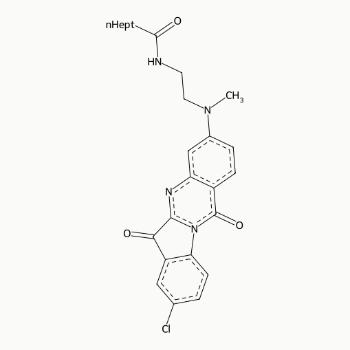 CCCCCCCC(=O)NCCN(C)c1ccc2c(=O)n3c(nc2c1)C(=O)c1cc(Cl)ccc1-3